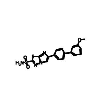 COc1cccc(-c2ccc(-c3cn4nc(S(N)(=O)=O)sc4n3)cc2)c1